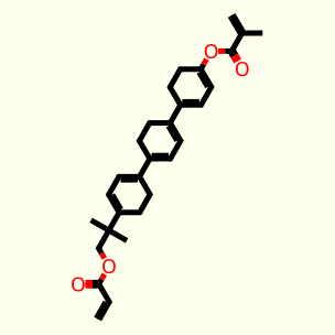 C=CC(=O)OCC(C)(C)C1=CC=C(C2=CC=C(C3=CC=C(OC(=O)C(=C)C)CC3)CC2)CC1